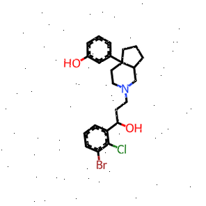 Oc1cccc(C23CCCC2CN(CCC(O)c2cccc(Br)c2Cl)CC3)c1